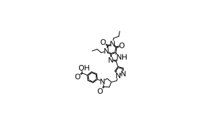 CCCn1c(=O)c2[nH]c(-c3cnn(CC4CC(=O)N(c5ccc(C(=O)O)cc5)C4)c3)nc2n(CCC)c1=O